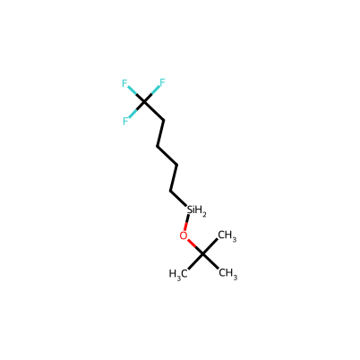 CC(C)(C)O[SiH2]CCCCC(F)(F)F